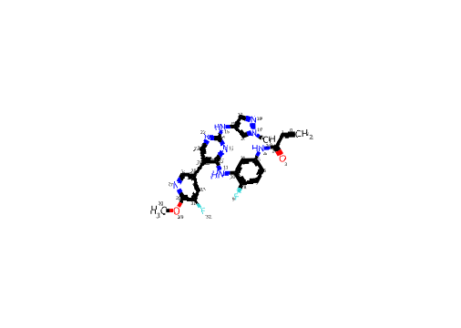 C=CC(=O)Nc1ccc(F)c(Nc2nc(Nc3cnn(C)c3)ncc2-c2cnc(OC)c(F)c2)c1